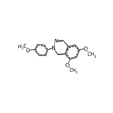 COc1ccc(N2Cc3c(cc(OC)cc3OC)C=N2)cc1